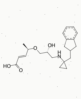 C[C@H](C=CC(=O)O)OC[C@H](O)CNC1(CC2Cc3ccccc3C2)CC1